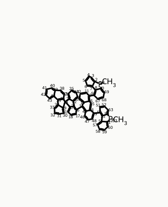 Cp1c2ccccc2c2c(-c3cccc4c(-c5cccc6c5-c5ccccc5C65c6ccccc6-c6c5ccc5ccccc65)c5cccc(-c6cccc7c6c6ccccc6p7C)c5cc34)cccc21